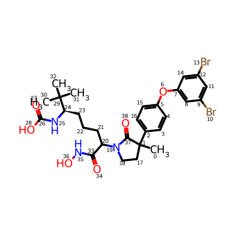 CC1(c2ccc(Oc3cc(Br)cc(Br)c3)cc2)CCN(C(CCC[C@@H](NC(=O)O)C(C)(C)C)C(=O)NO)C1=O